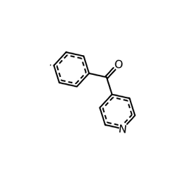 O=C(c1cc[c]cc1)c1ccncc1